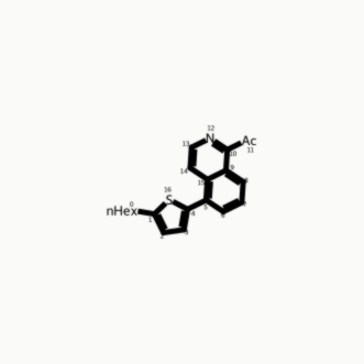 CCCCCCc1ccc(-c2cccc3c(C(C)=O)nccc23)s1